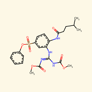 COC(=O)N=C(NC(=O)OC)Nc1cc(S(=O)(=O)Oc2ccccc2)ccc1NC(=O)CCC(C)C